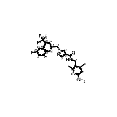 Cc1cc(N)nc(C)c1CNC(=O)c1cnn(Cc2cc(C(F)(F)F)c3cc(F)ccc3n2)c1